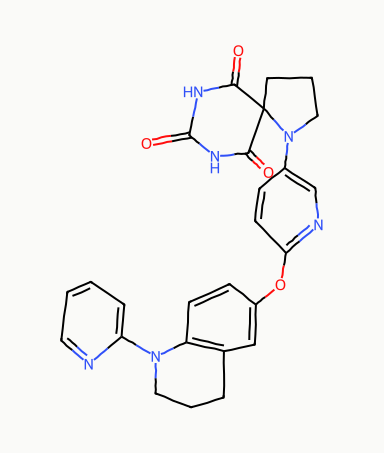 O=C1NC(=O)C2(CCCN2c2ccc(Oc3ccc4c(c3)CCCN4c3ccccn3)nc2)C(=O)N1